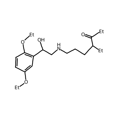 CCOc1ccc(OCC)c(C(O)CNCCCC(CC)C(=O)CC)c1